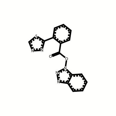 O=C(On1nnc2ccccc21)c1ccccc1-c1nncs1